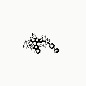 Cc1nc2c(cc(-c3nnc(N4CCC(n5cccn5)CC4)o3)n2C)c(-c2cc(F)c3c(c2C)CCCO3)c1[C@H](OC(C)(C)C)C(=O)O